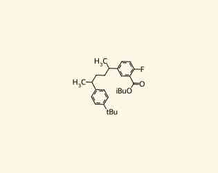 CC(C)COC(=O)c1cc(C(C)CCC(C)c2ccc(C(C)(C)C)cc2)ccc1F